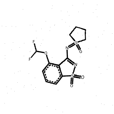 O=S1(=O)N=C(N=S2(=O)CCCC2)c2c(OC(F)F)cccc21